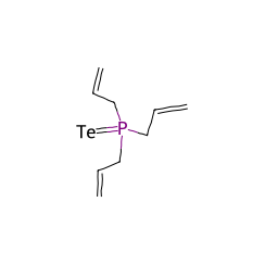 C=CCP(=[Te])(CC=C)CC=C